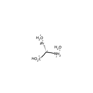 CC(C)[C@H](N)C(=O)O.O.O